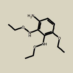 CCONc1c(N)ccc(OCC)c1NOCC